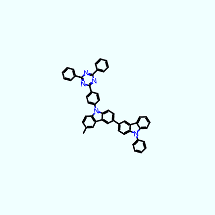 Cc1ccc2c(c1)c1cc(-c3ccc4c(c3)c3ccccc3n4-c3ccccc3)ccc1n2-c1ccc(-c2nc(-c3ccccc3)nc(-c3ccccc3)n2)cc1